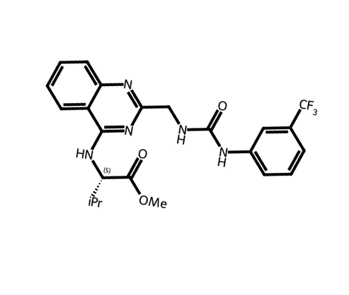 COC(=O)[C@@H](Nc1nc(CNC(=O)Nc2cccc(C(F)(F)F)c2)nc2ccccc12)C(C)C